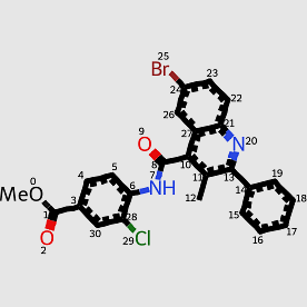 COC(=O)c1ccc(NC(=O)c2c(C)c(-c3ccccc3)nc3ccc(Br)cc23)c(Cl)c1